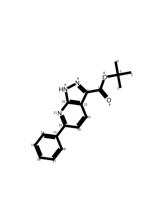 CC(C)(C)OC(=O)c1n[nH]c2nc(-c3ccccc3)ccc12